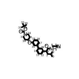 CC(C)CC(C(=O)NCC#N)c1cccc(-c2cccc(OC3CCN(C(=O)OC(C)(C)C)CC3)c2)c1